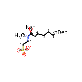 CCCCCCCCCCCCCCCC(=O)N(C)CCS(=O)(=O)[O-].[Na+]